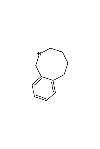 c1ccc2c(c1)CCCC[N]C2